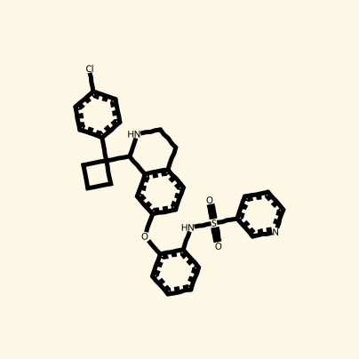 O=S(=O)(Nc1ccccc1Oc1ccc2c(c1)C(C1(c3ccc(Cl)cc3)CCC1)NCC2)c1cccnc1